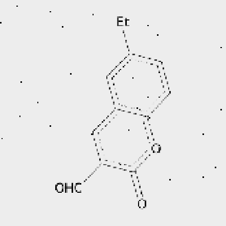 CCc1ccc2oc(=O)c(C=O)cc2c1